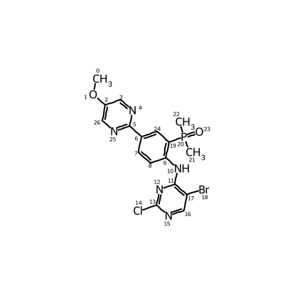 COc1cnc(-c2ccc(Nc3nc(Cl)ncc3Br)c(P(C)(C)=O)c2)nc1